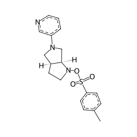 Cc1ccc(S(=O)(=O)ON2CC[C@H]3CN(c4cccnc4)C[C@H]32)cc1